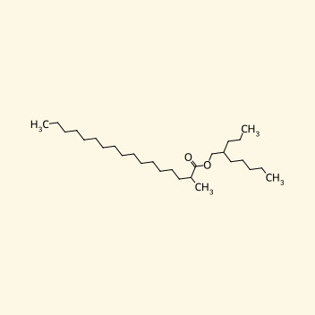 CCCCCCCCCCCCCCCC(C)C(=O)OCC(CCC)CCCCC